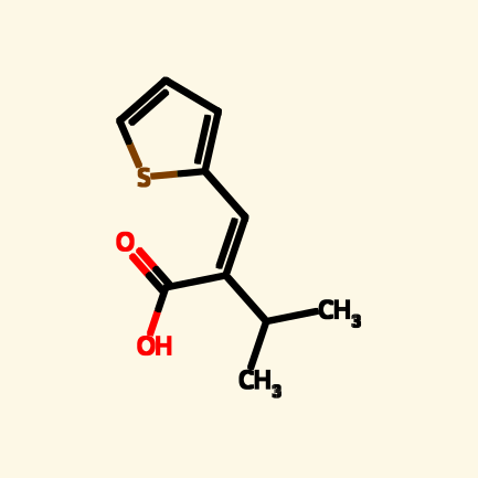 CC(C)C(=Cc1cccs1)C(=O)O